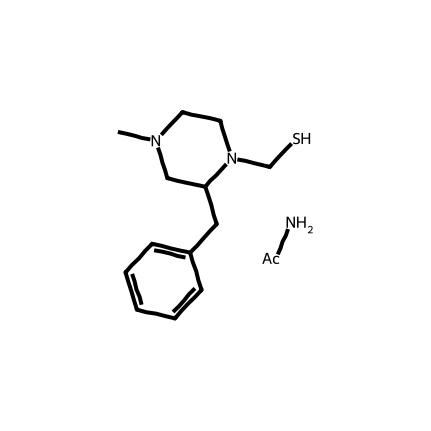 CC(N)=O.CN1CCN(CS)C(Cc2ccccc2)C1